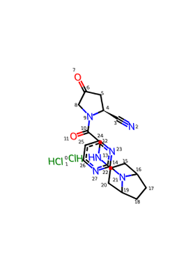 Cl.Cl.N#C[C@@H]1CC(=O)CN1C(=O)CNC1CC2CCC(C1)N2c1ncccn1